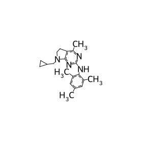 Cc1cc(C)c(Nc2nc(C)c3c(n2)N(CC2CC2)CC3)c(C)c1